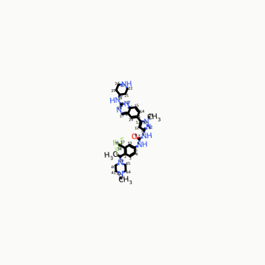 CC(c1ccc(NC(=O)Nc2cc(-c3ccc4nc(NC5CCNCC5)ncc4c3)n(C)n2)cc1C(F)(F)F)N1CCN(C)CC1